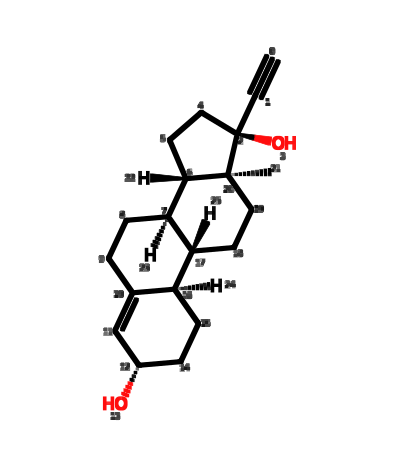 C#C[C@@]1(O)CC[C@H]2[C@@H]3CCC4=C[C@@H](O)CC[C@@H]4[C@H]3CC[C@@]21C